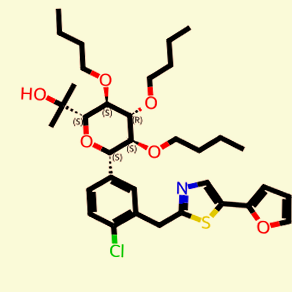 CCCCO[C@@H]1[C@@H](OCCCC)[C@H](c2ccc(Cl)c(Cc3ncc(-c4ccco4)s3)c2)O[C@H](C(C)(C)O)[C@H]1OCCCC